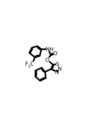 O=C(Nc1cccc(C(F)(F)F)c1)Oc1snnc1-c1ccccc1